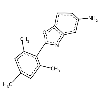 Cc1cc(C)c(-c2nc3cc(N)ccc3o2)c(C)c1